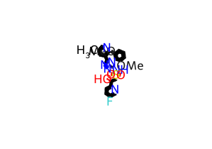 COc1cccc(OC)c1-n1c(NS(=O)(=O)C[C@H](O)c2ccc(F)cn2)nnc1-c1cncc(C)c1